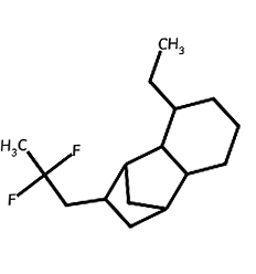 CCC1CCCC2C3CC(CC(C)(F)F)C(C3)C12